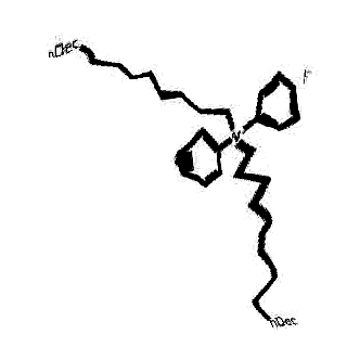 CCCCCCCCCCCCCCCCCC[N+](CCCCCCCCCCCCCCCCCC)(c1ccccc1)c1ccccc1.[I-]